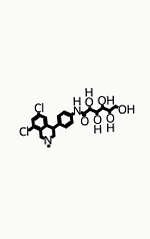 CN1Cc2c(Cl)cc(Cl)cc2C(c2ccc(NC(=O)C(O)C(O)C(O)C(O)CO)cc2)C1